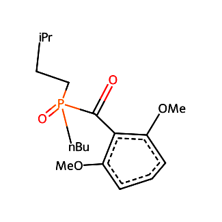 CCCCP(=O)(CCC(C)C)C(=O)c1c(OC)cccc1OC